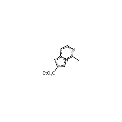 CCOC(=O)c1cn2c(C)nccc2n1